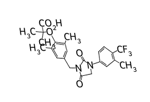 Cc1cc(N2CC(=O)N(Cc3cc(C)c(OC(C)(C)C(=O)O)c(C)c3)C2=O)ccc1C(F)(F)F